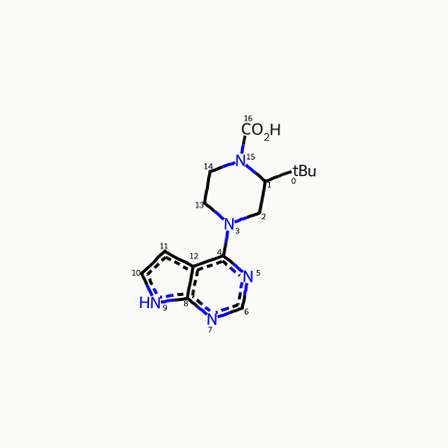 CC(C)(C)C1CN(c2ncnc3[nH]ccc23)CCN1C(=O)O